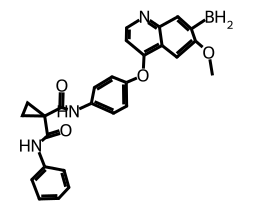 Bc1cc2nccc(Oc3ccc(NC(=O)C4(C(=O)Nc5ccccc5)CC4)cc3)c2cc1OC